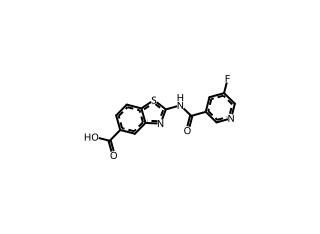 O=C(O)c1ccc2sc(NC(=O)c3cncc(F)c3)nc2c1